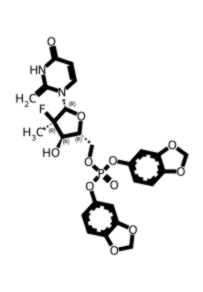 C=C1NC(=O)C=CN1[C@@H]1O[C@H](COP(=O)(Oc2ccc3c(c2)OCO3)Oc2ccc3c(c2)OCO3)[C@@H](O)[C@@]1(C)F